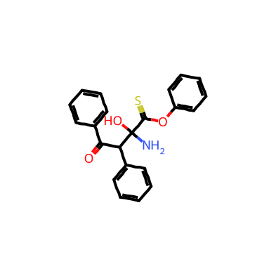 NC(O)(C(=S)Oc1ccccc1)C(C(=O)c1ccccc1)c1ccccc1